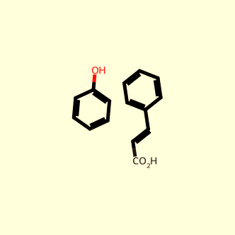 O=C(O)C=Cc1ccccc1.Oc1ccccc1